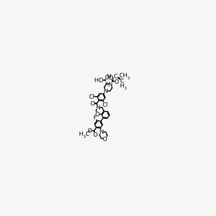 COC(=O)c1cc(F)c(-c2cccc3c2OCN(C(=O)c2c(Cl)cc(N4CCN(C(=O)OC(C)(C)C)[C@@H](C(=O)O)C4)cc2Cl)C3)cc1N1CCOCC1